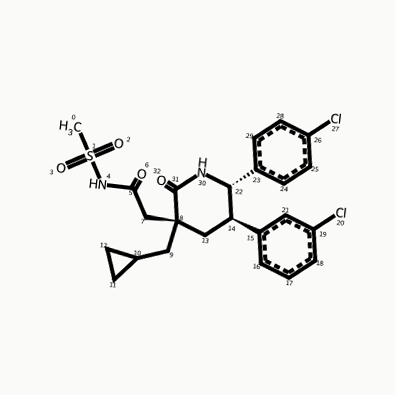 CS(=O)(=O)NC(=O)C[C@]1(CC2CC2)C[C@H](c2cccc(Cl)c2)[C@@H](c2ccc(Cl)cc2)NC1=O